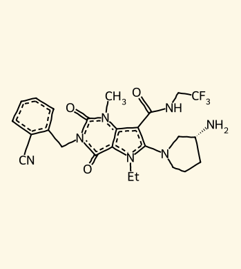 CCn1c(N2CCC[C@@H](N)C2)c(C(=O)NCC(F)(F)F)c2c1c(=O)n(Cc1ccccc1C#N)c(=O)n2C